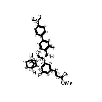 [2H][C@H](c1ccc(-c2ccc(N(C)C)cc2)cc1F)N(C(=O)[C@@H]1C[C@H]2CC[C@@H]1C2)c1cc(F)cc(/C=C/C(=O)OC)c1